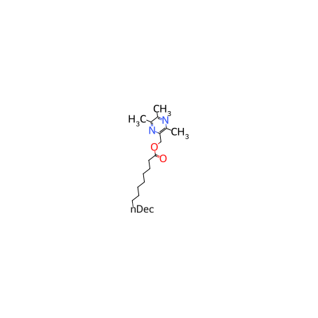 CCCCCCCCCCCCCCCCCC(=O)OCc1nc(C)c(C)nc1C